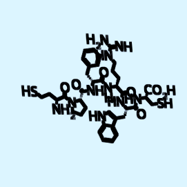 N=C(N)NCCC[C@H](NC(=O)[C@@H](Cc1ccccc1)NC(=O)[C@@H]1CCCN1C(=O)[C@@H](N)CCS)C(=O)N[C@@H](Cc1c[nH]c2ccccc12)C(=O)N[C@@H](CS)C(=O)O